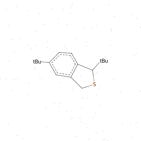 CC(C)(C)c1ccc2c(c1)CSC2C(C)(C)C